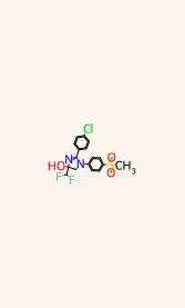 CS(=O)(=O)c1ccc(N2CC(O)(C(F)F)N=C2c2ccc(Cl)cc2)cc1